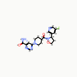 NC(=O)c1cc(N2CCC(C(=O)N3OCCC3c3cncc(F)c3)CC2)ncn1